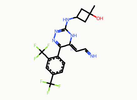 CC1(O)CC(NC2=NN=C(c3ccc(C(F)(F)F)cc3C(F)(F)F)/C(=C/C=N)N2)C1